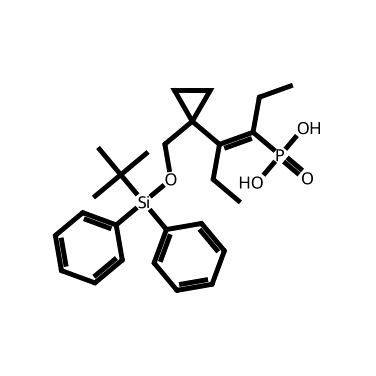 CCC(=C(CC)P(=O)(O)O)C1(CO[Si](c2ccccc2)(c2ccccc2)C(C)(C)C)CC1